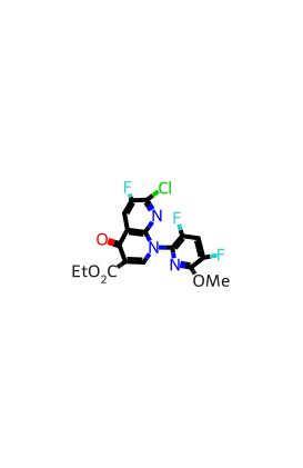 CCOC(=O)c1cn(-c2nc(OC)c(F)cc2F)c2nc(Cl)c(F)cc2c1=O